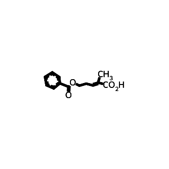 CC(=CCCOC(=O)c1ccccc1)C(=O)O